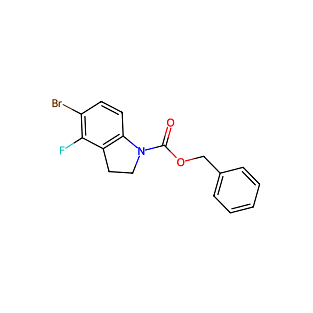 O=C(OCc1ccccc1)N1CCc2c1ccc(Br)c2F